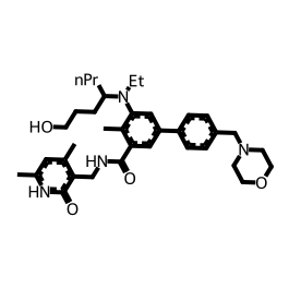 CCCC(CCCO)N(CC)c1cc(-c2ccc(CN3CCOCC3)cc2)cc(C(=O)NCc2c(C)cc(C)[nH]c2=O)c1C